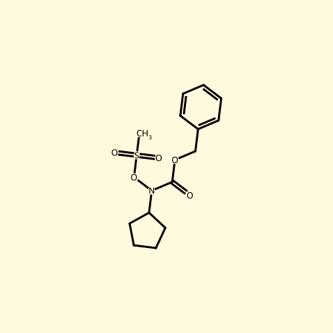 CS(=O)(=O)ON(C(=O)OCc1ccccc1)C1CCCC1